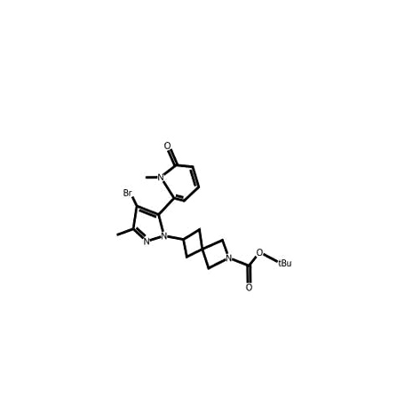 Cc1nn(C2CC3(C2)CN(C(=O)OC(C)(C)C)C3)c(-c2cccc(=O)n2C)c1Br